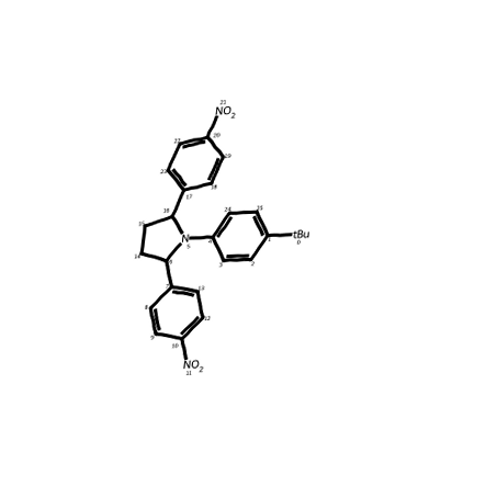 CC(C)(C)c1ccc(N2C(c3ccc([N+](=O)[O-])cc3)CCC2c2ccc([N+](=O)[O-])cc2)cc1